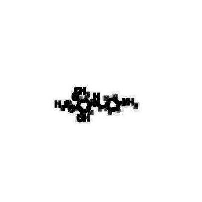 COc1cc(NCc2ccc(N)cc2)cc(O)c1OC